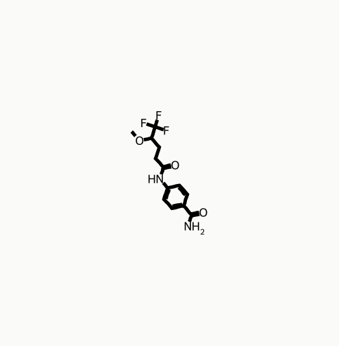 COC(CCC(=O)Nc1ccc(C(N)=O)cc1)C(F)(F)F